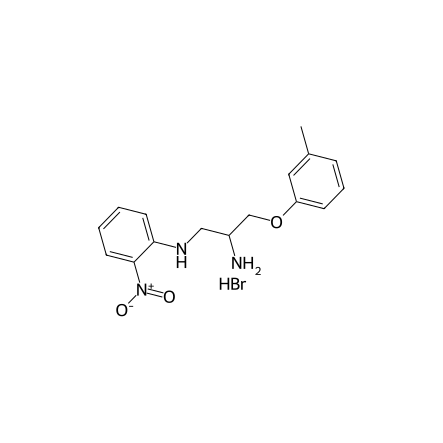 Br.Cc1cccc(OCC(N)CNc2ccccc2[N+](=O)[O-])c1